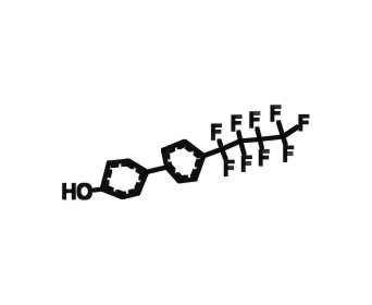 Oc1ccc(-c2ccc(C(F)(F)C(F)(F)C(F)(F)C(F)(F)F)cc2)cc1